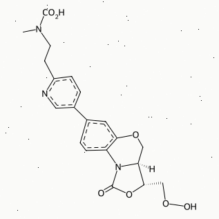 CN(CCc1ccc(-c2ccc3c(c2)OC[C@H]2[C@H](COO)OC(=O)N32)cn1)C(=O)O